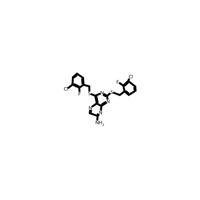 Nc1cnc2c(SCc3cccc(Cl)c3F)nc(SCc3cccc(Cl)c3F)nc2n1